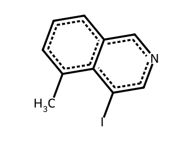 Cc1cccc2cncc(I)c12